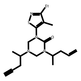 C#CCC(C)N1CN(c2snc(CC)c2C)C(=O)N(C(C)CC=C)C1